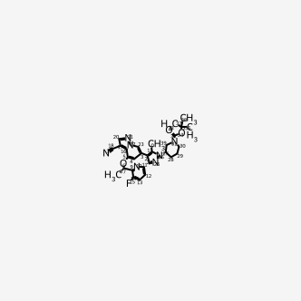 Cc1c(-c2cc(O[C@H](C)c3ncccc3F)c3c(C#N)cnn3c2)cnn1[C@H]1CCCN(C(=O)OC(C)(C)C)C1